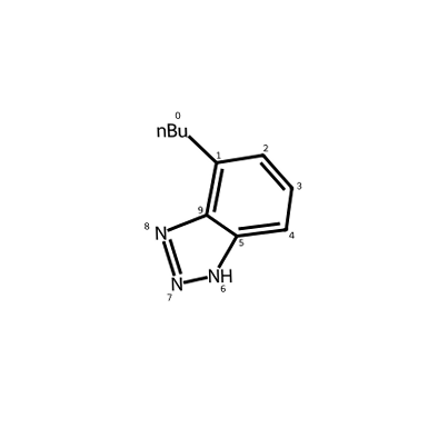 CCCCc1cccc2[nH]nnc12